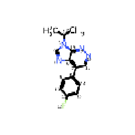 CC(C)n1cnc2c(-c3ccc(F)cc3)cnnc21